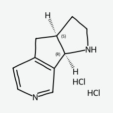 Cl.Cl.c1cc2c(cn1)[C@@H]1NCC[C@@H]1C2